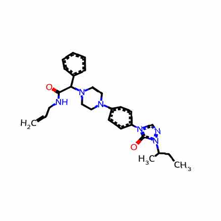 C=CCNC(=O)C(c1ccccc1)N1CCN(c2ccc(-n3cnn(C(C)CC)c3=O)cc2)CC1